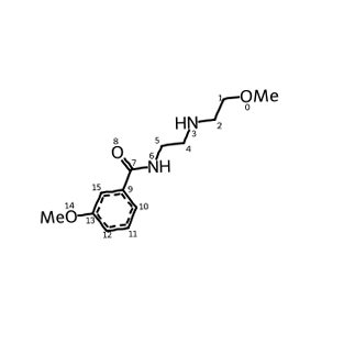 COCCNCCNC(=O)c1cccc(OC)c1